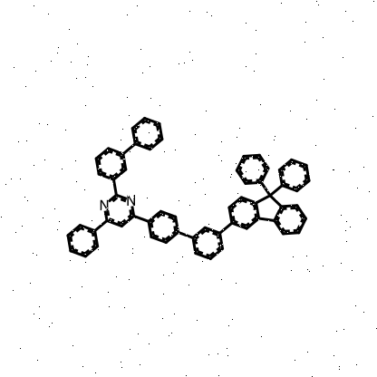 c1ccc(-c2cccc(-c3nc(-c4ccccc4)cc(-c4ccc(-c5cccc(-c6ccc7c(c6)-c6ccccc6C7(c6ccccc6)c6ccccc6)c5)cc4)n3)c2)cc1